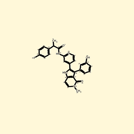 CC(C(=O)Nc1cc(-c2[nH]c3ccn(C)c(=O)c3c2-c2cccc(O)c2)ccn1)c1ccc(F)cc1